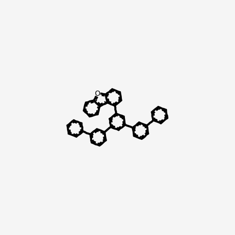 c1ccc(-c2cccc(-c3cc(-c4cccc(-c5ccccc5)c4)cc(-c4cccc5oc6ccccc6c45)c3)c2)cc1